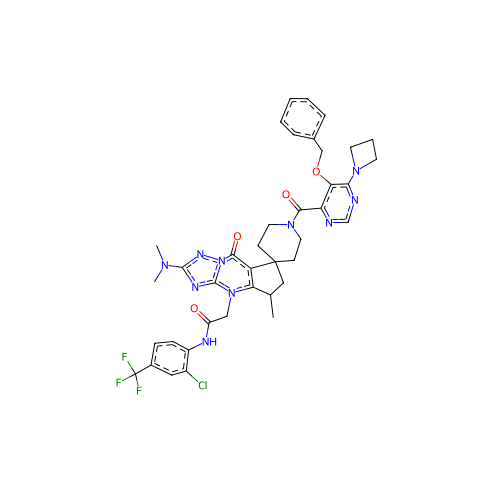 CC1CC2(CCN(C(=O)c3ncnc(N4CCC4)c3OCc3ccccc3)CC2)c2c1n(CC(=O)Nc1ccc(C(F)(F)F)cc1Cl)c1nc(N(C)C)nn1c2=O